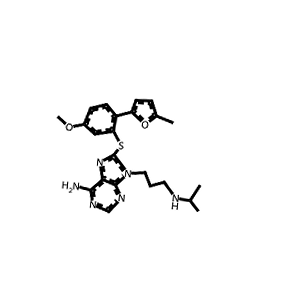 COc1ccc(-c2ccc(C)o2)c(Sc2nc3c(N)ncnc3n2CCCNC(C)C)c1